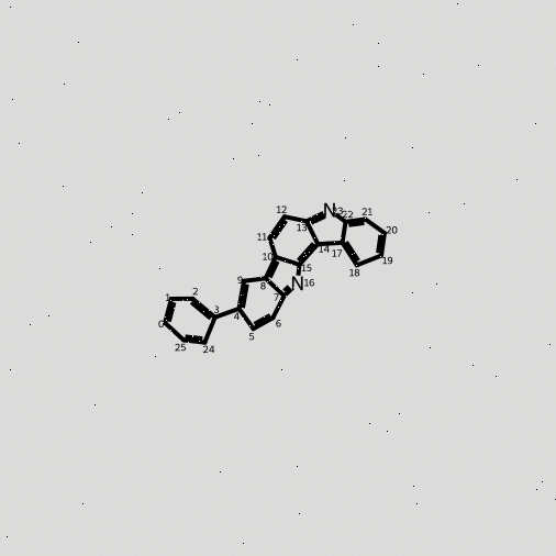 c1ccc(-c2ccc3c(c2)=c2ccc4c(c2N=3)-c2ccccc2N=4)cc1